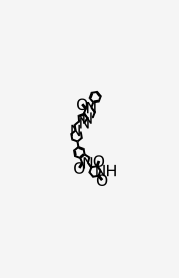 O=C1CCC(N2Cc3cc(C4CCN(Cc5cc6n(n5)CCN(c5ccccc5)C6=O)CC4)ccc3C2=O)C(=O)N1